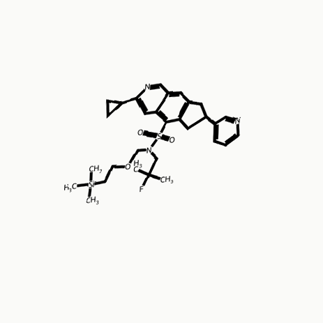 CC(C)(F)CN(COCC[Si](C)(C)C)S(=O)(=O)c1c2c(cc3cnc(C4CC4)cc13)CC(c1cccnc1)C2